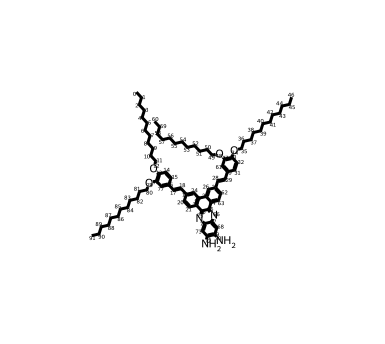 CCCCCCCCCCCCOc1ccc(/C=C/c2ccc3c(c2)c2cc(/C=C/c4ccc(OCCCCCCCCCCCC)c(OCCCCCCCCCCCC)c4)ccc2c2nc4cc(N)c(N)cc4nc32)cc1OCCCCCCCCCCCC